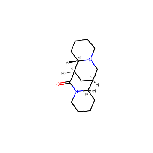 O=C1[C@@H]2C[C@@H](CN3CCCC[C@@H]23)[C@H]2CCCCN12